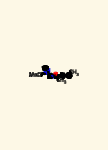 COCCCn1c([C@@H]2CCCN(C(=O)C[C@H](C)Cc3ccc(-c4cccc(C)c4)cc3)C2)nc2ccccc21